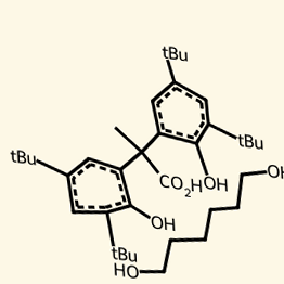 CC(C)(C)c1cc(C(C)(C)C)c(O)c(C(C)(C(=O)O)c2cc(C(C)(C)C)cc(C(C)(C)C)c2O)c1.OCCCCCCO